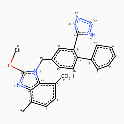 CCOc1nc2c(C)ccc(C(=O)O)c2n1Cc1ccc(-c2ccccc2)c(-c2nnn[nH]2)c1